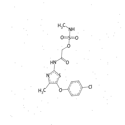 CNS(=O)(=O)OCC(=O)Nc1nc(C)c(Oc2ccc(Cl)cc2)s1